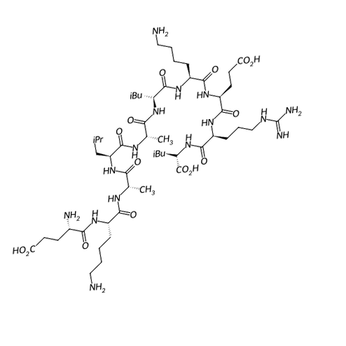 CC[C@H](C)[C@H](NC(=O)[C@H](CCCNC(=N)N)NC(=O)[C@H](CCC(=O)O)NC(=O)[C@H](CCCCN)NC(=O)[C@@H](NC(=O)[C@H](C)NC(=O)[C@H](CC(C)C)NC(=O)[C@H](C)NC(=O)[C@H](CCCCN)NC(=O)[C@@H](N)CCC(=O)O)[C@@H](C)CC)C(=O)O